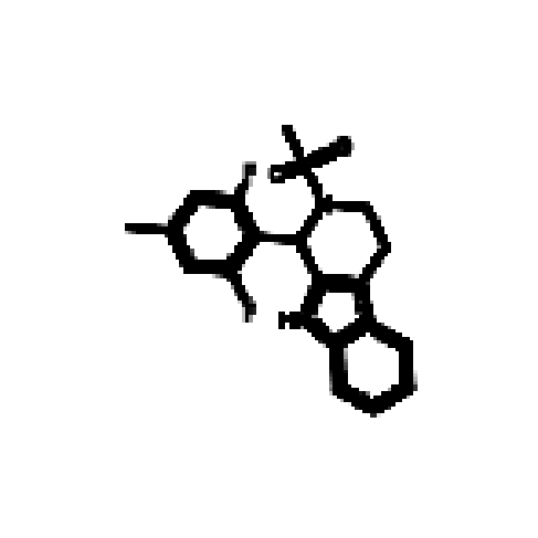 Cc1cc(F)c(C2c3[nH]c4ccccc4c3CCN2S(C)(=O)=O)c(F)c1